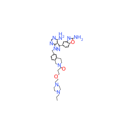 CCCN1CCN(CCOCCC(=O)N2CCc3cc(Cn4nc(-c5ccc6oc(N)nc6c5)c5c(N)ncnc54)ccc3C2)CC1